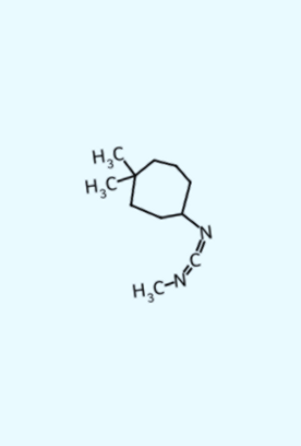 CN=C=NC1CCCC(C)(C)CC1